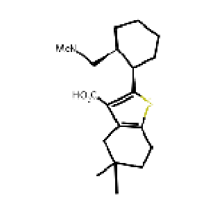 CNC[C@H]1CCCC[C@H]1c1sc2c(c1C(=O)O)CC(C)(C)CC2